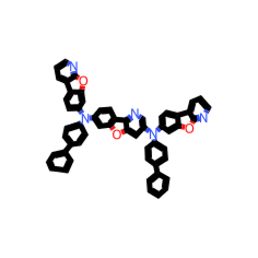 c1ccc(-c2ccc(N(c3ccc4c(c3)oc3ncccc34)c3ccc4c(c3)oc3cc(N(c5ccc(-c6ccccc6)cc5)c5ccc6c(c5)oc5ncccc56)cnc34)cc2)cc1